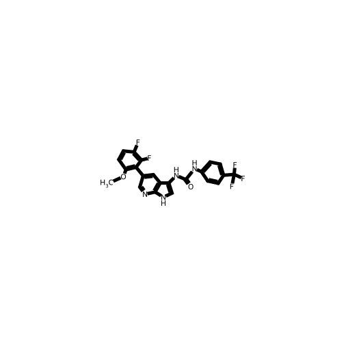 COc1ccc(F)c(F)c1-c1cnc2[nH]cc(NC(=O)Nc3ccc(C(F)(F)F)cc3)c2c1